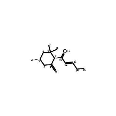 C=C1C[C@H](C)CC(C)(C)[C@H]1C(=O)C=CCC